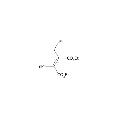 CCC/C(C(=O)OCC)=C(\CC(C)C)C(=O)OCC